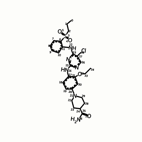 CCCS(=O)(=O)c1ccccc1Nc1nc(Nc2ccc(N3CCC(C(N)=O)CC3)cc2OCC)ncc1Cl